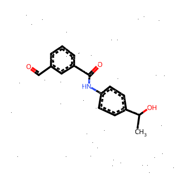 CC(O)c1ccc(NC(=O)c2cccc(C=O)c2)cc1